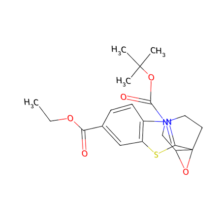 CCOC(=O)c1ccc2nc(C34CCN(C(=O)OC(C)(C)C)CC3O4)sc2c1